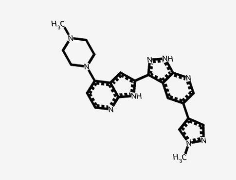 CN1CCN(c2ccnc3[nH]c(-c4n[nH]c5ncc(-c6cnn(C)c6)cc45)cc23)CC1